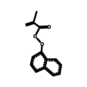 C=C(C)C(=O)OOc1cccc2ccccc12